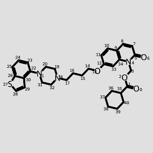 O=C(OCn1c(=O)ccc2ccc(OCCCCN3CCN(c4cccc5sccc45)CC3)cc21)C1CCCCC1